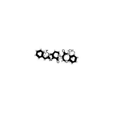 CN1C(=O)[C@@H](N2CCc3c(nc(Cc4ccccc4)n3C)C2=O)COc2ccccc21